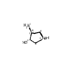 Cl.N[C@@H]1CCNC1